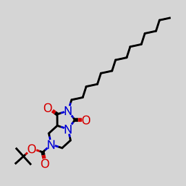 CCCCCCCCCCCCCCN1C(=O)C2CN(C(=O)OC(C)(C)C)CCN2C1=O